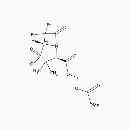 COC(=O)OCOC(=O)[C@@H]1N2C(=O)C(Br)(Br)[C@H]2S(=O)(=O)C1(C)C